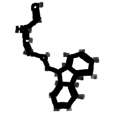 O=C[SH]=C=NOCC1c2ccccc2-c2ccccc21